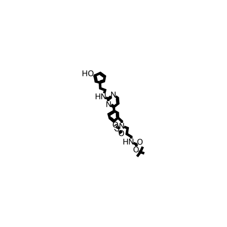 CC(C)(C)OC(=O)NCCCN(Cc1cccc(-c2ccnc(NCCc3cccc(O)c3)n2)c1)S(C)(=O)=O